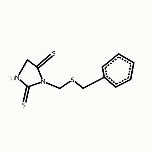 S=C1CNC(=S)N1CSCc1ccccc1